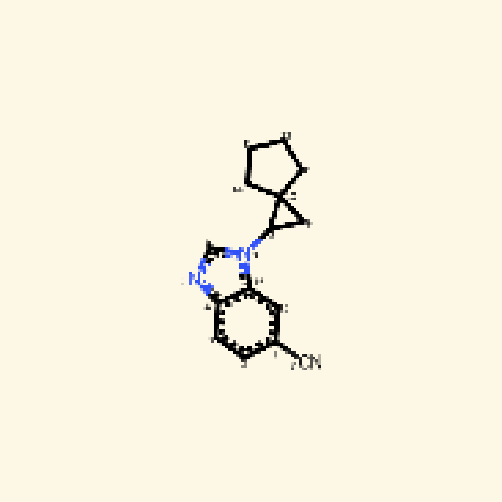 N#Cc1ccc2ncn(C3CC34CCCC4)c2c1